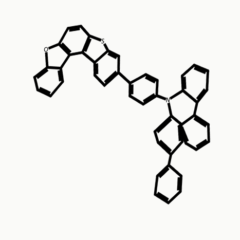 c1ccc(-c2ccc(N(c3ccc(-c4ccc5c(c4)sc4ccc6oc7ccccc7c6c45)cc3)c3ccccc3-c3ccccc3)cc2)cc1